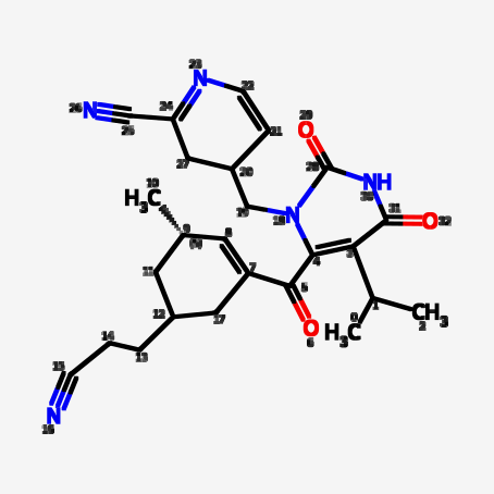 CC(C)c1c(C(=O)C2=C[C@@H](C)CC(CCC#N)C2)n(CC2C=CN=C(C#N)C2)c(=O)[nH]c1=O